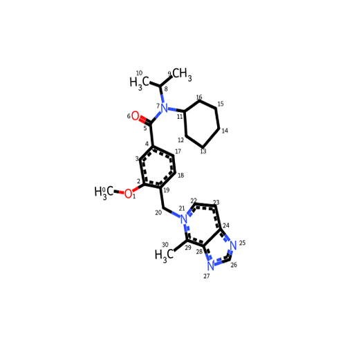 COc1cc(C(=O)N(C(C)C)C2CCCCC2)ccc1Cn1ccc2ncnc-2c1C